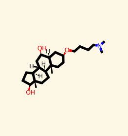 CN(C)CCCCO[C@H]1CC[C@@]2(C)[C@H](C1)[C@@H](O)C[C@@H]1[C@@H]2CC[C@]2(C)[C@@H](O)CC[C@@H]12